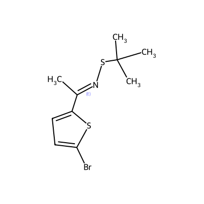 C/C(=N\SC(C)(C)C)c1ccc(Br)s1